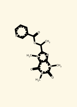 CC(OC(=O)c1cccnc1)c1nc2c(c(=O)n(C)c(=O)n2C)n1C